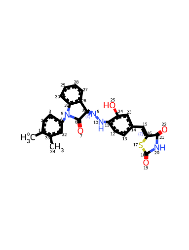 Cc1ccc(N2C(=O)/C(=N\Nc3ccc(/C=C4\SC(=O)NC4=O)cc3O)c3ccccc32)cc1C